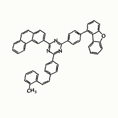 Cc1ccccc1/C=C\c1ccc(-c2nc(-c3ccc(-c4cccc5oc6ccccc6c45)cc3)nc(-c3ccc4ccc5ccccc5c4c3)n2)cc1